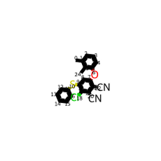 Cc1cccc(Oc2cc(Sc3ccccc3)c(Cl)c(C#N)c2C#N)c1C